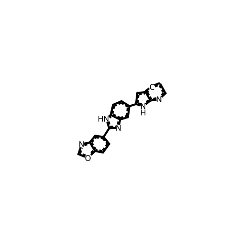 c1cnc2[nH]c(-c3ccc4[nH]c(-c5ccc6ocnc6c5)nc4c3)cc2c1